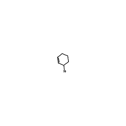 [N]C1C=CCCC1